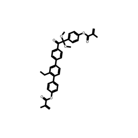 C=C(C)C(=O)Oc1ccc(-c2ccc(-c3ccc(C(=O)C(OC)(OC)c4ccc(OC(=O)C(=C)C)cc4)cc3)cc2CC)cc1